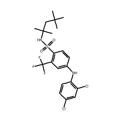 CC(C)(C)CC(C)(C)NS(=O)(=O)c1ccc(Nc2ccc(Cl)cc2Cl)cc1C(F)(F)F